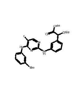 COC(=O)C(OC)c1cccc(Nc2ncc(F)c(Nc3cccc(C(C)(C)C)c3)n2)c1